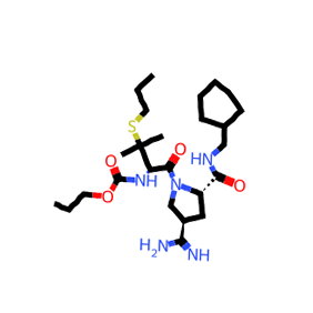 CCCOC(=O)N[C@@H](C(=O)N1C[C@H](C(=N)N)C[C@H]1C(=O)NCC1CCCCC1)C(C)(C)SCCC